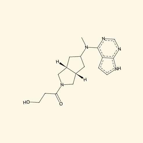 CN(c1ncnc2[nH]ccc12)C1C[C@@H]2CN(C(=O)CCO)C[C@@H]2C1